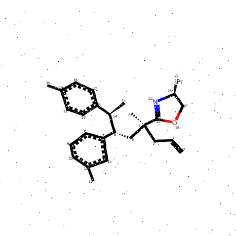 C=CC[C@@](C)(C[C@H](c1cccc(C)c1)[C@H](C)c1ccc(C)cc1)C1=N[C@@H](C(C)C)CO1